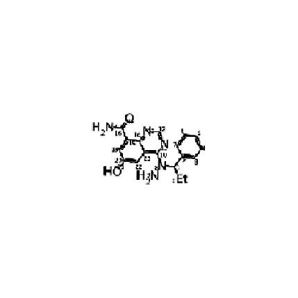 CCC(c1ccccc1)N(N)c1ncnc2c(C(N)=O)cc(O)cc12